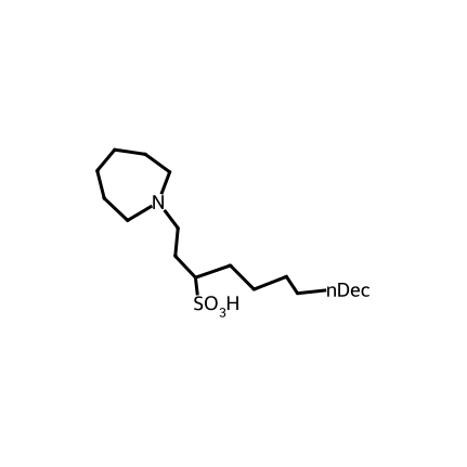 CCCCCCCCCCCCCCC(CCN1CCCCCC1)S(=O)(=O)O